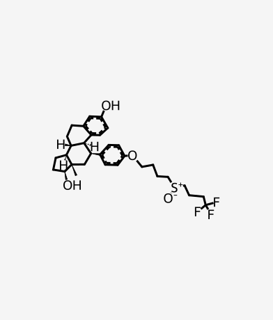 C[C@]12C[C@H](c3ccc(OCCCC[S+]([O-])CCCC(F)(F)F)cc3)[C@@H]3c4ccc(O)cc4CC[C@H]3[C@@H]1CC[C@@H]2O